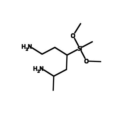 CO[Si](C)(OC)C(CCN)CC(C)N